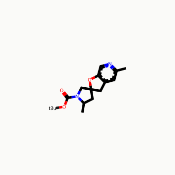 Cc1cc2c(cn1)OC1(C2)CC(C)N(C(=O)OC(C)(C)C)C1